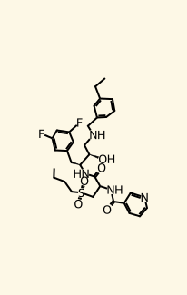 CCCCS(=O)(=O)CC(NC(=O)c1cccnc1)C(=O)N[C@@H](Cc1cc(F)cc(F)c1)[C@H](O)CNCc1cccc(CC)c1